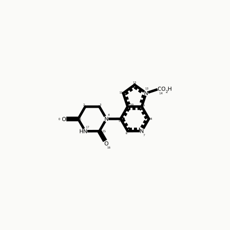 O=C1CCN(c2cncc3c2ccn3C(=O)O)C(=O)N1